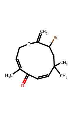 C=C1CC/C=C(/C)C(=O)/C=C\C(C)(C)CC1Br